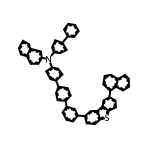 c1ccc(-c2ccc(N(c3ccc(-c4ccc(-c5cccc(-c6ccc7sc8ccc(-c9cccc%10ccccc9%10)cc8c7c6)c5)cc4)cc3)c3ccc4ccccc4c3)cc2)cc1